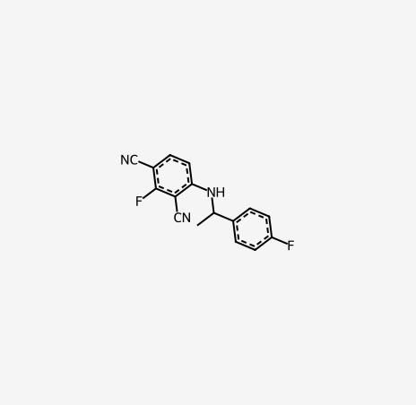 CC(Nc1ccc(C#N)c(F)c1C#N)c1ccc(F)cc1